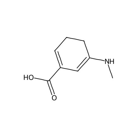 CNC1=CC(C(=O)O)=CCC1